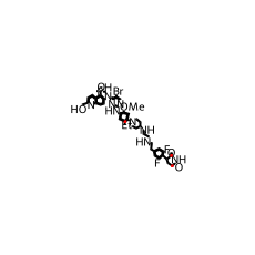 CCc1cc(Nc2ncc(Br)c(Nc3ccc4nc(CO)ccc4c3P(C)(C)=O)n2)c(OC)cc1N1CCC(NCCNCCc2cc(F)c(C3CCC(=O)NC3=O)c(F)c2)CC1